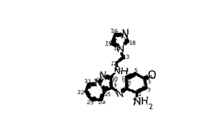 NC1=CC(=O)C=C/C1=N\c1c(NCCn2ccnc2)nn2ccccc12